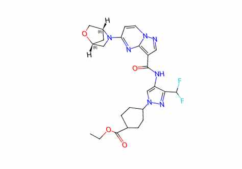 CCOC(=O)C1CCC(n2cc(NC(=O)c3cnn4ccc(N5C[C@H]6C[C@@H]5CO6)nc34)c(C(F)F)n2)CC1